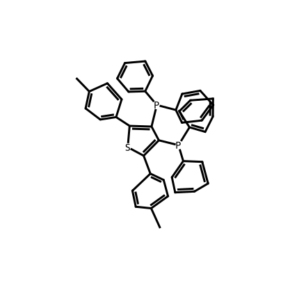 Cc1ccc(-c2sc(-c3ccc(C)cc3)c(P(c3ccccc3)c3ccccc3)c2P(c2ccccc2)c2ccccc2)cc1